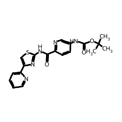 CC(C)(C)OC(=O)Nc1ccc(C(=O)Nc2nc(-c3ccccn3)cs2)nc1